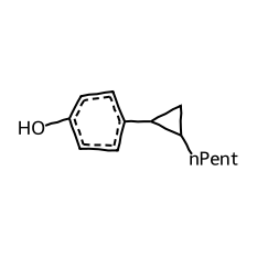 CCCCCC1CC1c1ccc(O)cc1